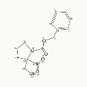 O=C(OCc1ccccc1)N1CCCC1(CO)[N+](=O)[O-]